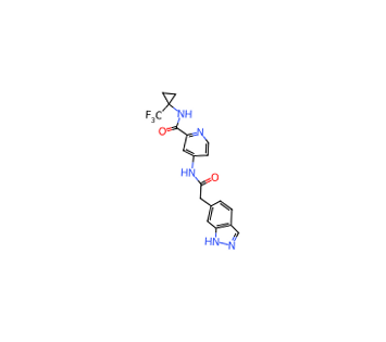 O=C(Cc1ccc2cn[nH]c2c1)Nc1ccnc(C(=O)NC2(C(F)(F)F)CC2)c1